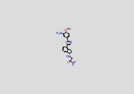 CC(C)OC1CC=C(c2ncc(-c3cccc4c3CC[C@@H]4NCC(=O)N(C)C)s2)C=C1N